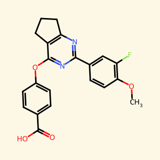 COc1ccc(-c2nc3c(c(Oc4ccc(C(=O)O)cc4)n2)CCC3)cc1F